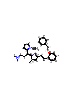 Bn1cccc1/C(CCN(C)C)=C1N=C(/C=C/c2ccccc2OCc2ccccc2)C=C\1C